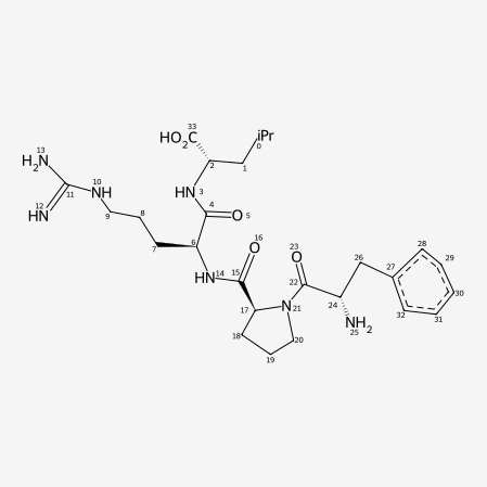 CC(C)C[C@H](NC(=O)[C@H](CCCNC(=N)N)NC(=O)[C@@H]1CCCN1C(=O)[C@@H](N)Cc1ccccc1)C(=O)O